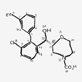 CCc1cccc(-c2c(Cl)cccc2C(O)[C@H]2CN(C(=O)O)CCO2)c1